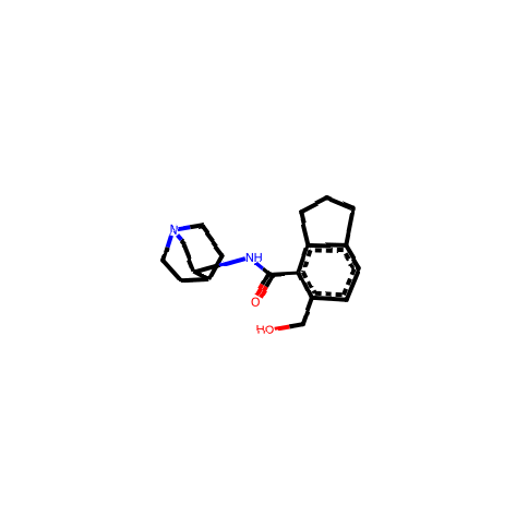 O=C(NC1CN2CCC1CC2)c1c(CO)ccc2c1CCC2